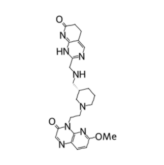 COc1ccc2ncc(=O)n(CCN3CCC[C@@H](CNCC4=NC=C5CCC(=O)N=C5N4)C3)c2n1